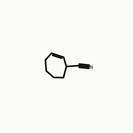 N#CC1C=CCCCC1